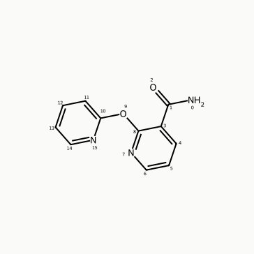 NC(=O)c1cccnc1Oc1ccccn1